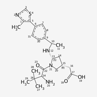 Cc1ncsc1-c1ccc(C(C)N[C@@H]2C[C@H](CC(=O)O)CN2C(=O)C(N)C(C)(C)C)cc1